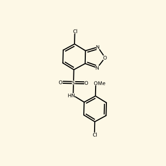 COc1ccc(Cl)cc1NS(=O)(=O)c1ccc(Cl)c2nonc12